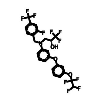 O[C@H](CN(Cc1ccc(C(F)(F)F)cc1F)c1cccc(Oc2cccc(OC(F)(F)C(F)F)c2)c1)C(F)(F)F